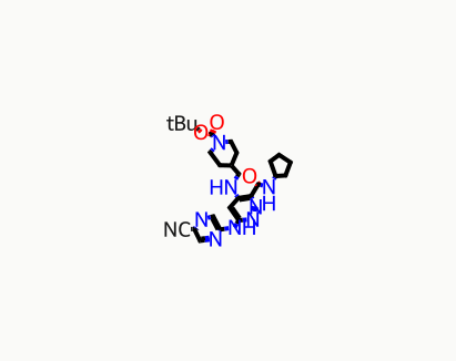 CC(C)(C)OC(=O)N1CCC(CNc2cc(Nc3cnc(C#N)cn3)nnc2C(=O)NC2CCCC2)CC1